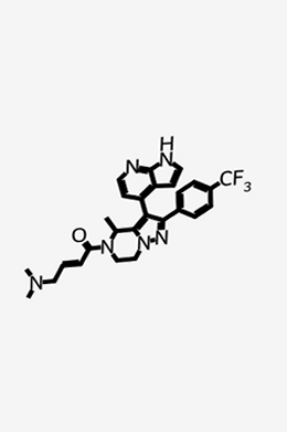 CC1c2c(-c3ccnc4[nH]ccc34)c(-c3ccc(C(F)(F)F)cc3)nn2CCN1C(=O)C=CCN(C)C